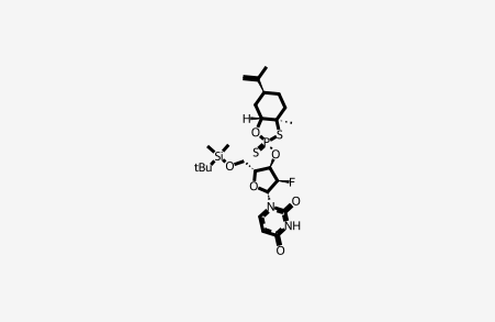 C=C(C)[C@H]1CC[C@@]2(C)S[P@](=S)(O[C@H]3[C@@H](F)[C@H](n4ccc(=O)[nH]c4=O)O[C@@H]3CO[Si](C)(C)C(C)(C)C)O[C@@H]2C1